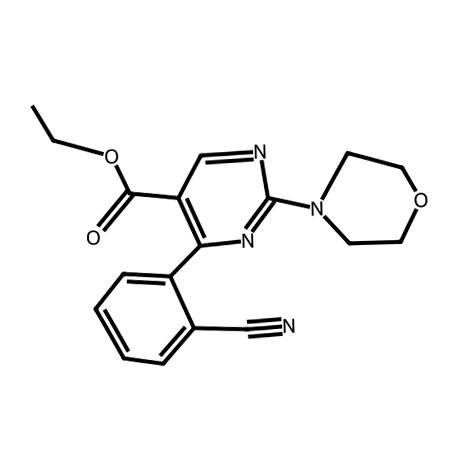 CCOC(=O)c1cnc(N2CCOCC2)nc1-c1ccccc1C#N